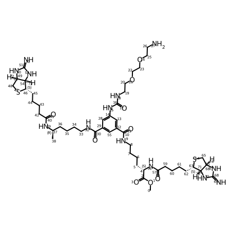 COC(=O)[C@H](CCCCNC(=O)c1cc(NC(=O)NCCOCCOCCN)cc(C(=O)NCCCC[C@@H](C)NC(=O)CCCC[C@@H]2SC[C@@H]3NC(=N)N[C@@H]32)c1)NC(=O)CCCC[C@@H]1SC[C@@H]2NC(=N)N[C@@H]21